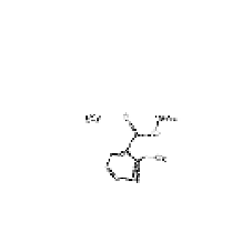 CCc1ccccc1C(=O)ONC.Cl